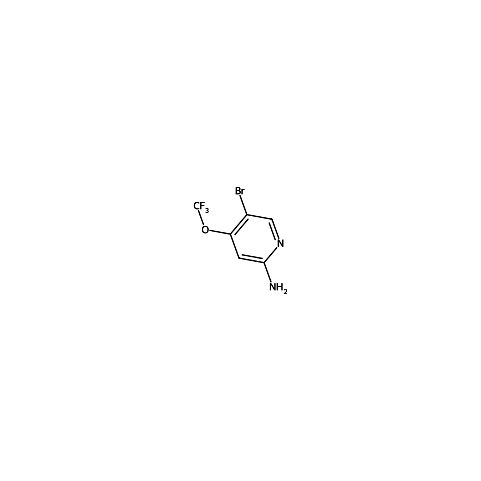 Nc1cc(OC(F)(F)F)c(Br)cn1